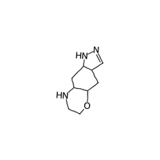 C1=NNC2CC3NCCOC3CC12